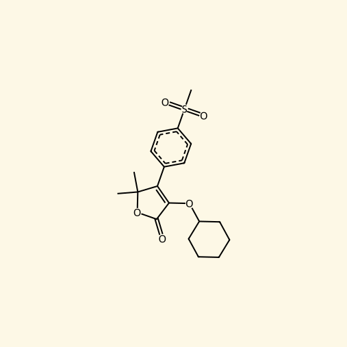 CC1(C)OC(=O)C(OC2CCCCC2)=C1c1ccc(S(C)(=O)=O)cc1